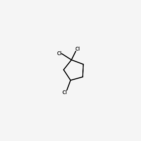 ClC1CCC(Cl)(Cl)C1